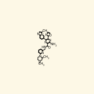 Cc1cnc2ccc(-c3nc(C(=O)NCc4cccc(N5CCN(C)C[C@@H]5C)n4)c(N)nc3-c3ncco3)cn12